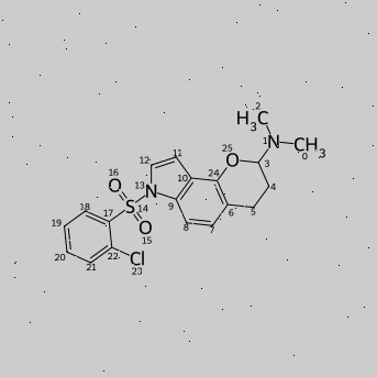 CN(C)C1CCc2ccc3c(ccn3S(=O)(=O)c3ccccc3Cl)c2O1